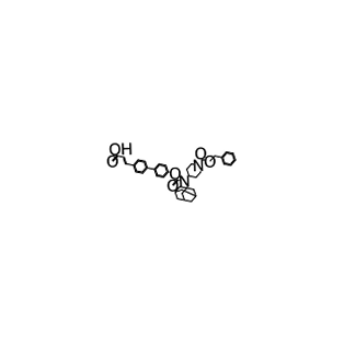 O=C(O)C=Cc1ccc(-c2ccc(OC(=O)N(C3CCN(C(=O)OCc4ccccc4)CC3)C34CC5CC(CC(C5)C3)C4)cc2)cc1